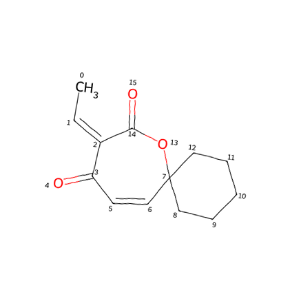 C/C=C1/C(=O)C=CC2(CCCCC2)OC1=O